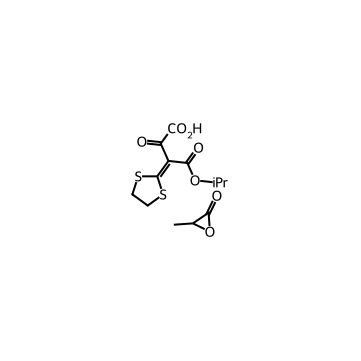 CC(C)OC(=O)C(C(=O)C(=O)O)=C1SCCS1.CC1OC1=O